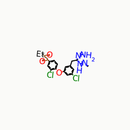 C=NN/C(Cc1cc(Cl)cc(Oc2ccc(S(=O)(=O)CC)cc2Cl)c1)=N\N